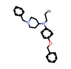 CC(C)CCN(c1ccc(OCc2ccccc2)cc1)C1CCN(Cc2ccccc2)CC1